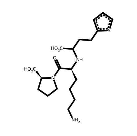 NCCCC[C@H](NC(CCc1cccs1)C(=O)O)C(=O)N1CCC[C@H]1C(=O)O